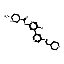 C[C@@H]1CC[C@@H](C(=O)Nc2cc(-c3cncc(NCC4CCOCC4)n3)c(Cl)cn2)CN1